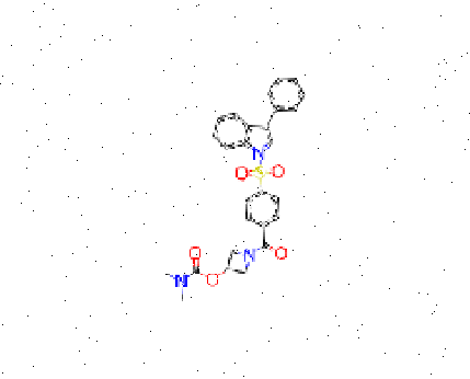 CN(C)C(=O)OC1CN(C(=O)c2ccc(S(=O)(=O)n3cc(-c4ccccc4)c4ccccc43)cc2)C1